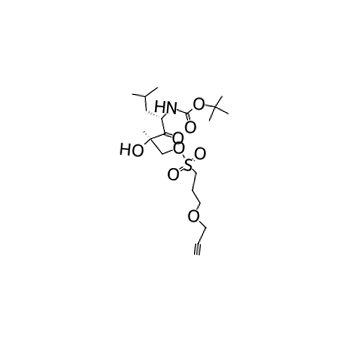 C#CCOCCCS(=O)(=O)OC[C@@](C)(O)C(=O)[C@H](CC(C)C)NC(=O)OC(C)(C)C